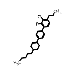 CCCCCC1CC=C(c2ccc(-c3ccc(CCC)c(Cl)c3F)cc2)CC1